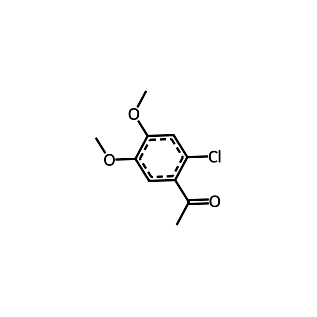 COc1cc(Cl)c(C(C)=O)cc1OC